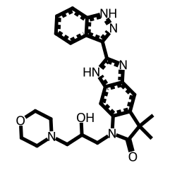 CC1(C)C(=O)N(CC(O)CN2CCOCC2)c2cc3[nH]c(-c4n[nH]c5ccccc45)nc3cc21